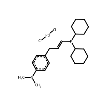 CN(C)c1ccc(CC=CP(C2CCCCC2)C2CCCCC2)cc1.[Cl][Pd][Cl]